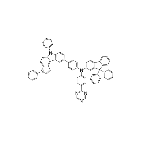 c1ccc(-n2ccc3c4c5cc(-c6ccc(N(c7ccc(-c8ncncn8)cc7)c7ccc8c(c7)C(c7ccccc7)(c7ccccc7)c7ccccc7-8)cc6)ccc5n(-c5ccccc5)c4ccc32)cc1